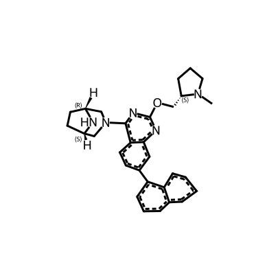 CN1CCC[C@H]1COc1nc(N2C[C@H]3CC[C@@H](C2)N3)c2ccc(-c3cccc4ccccc34)cc2n1